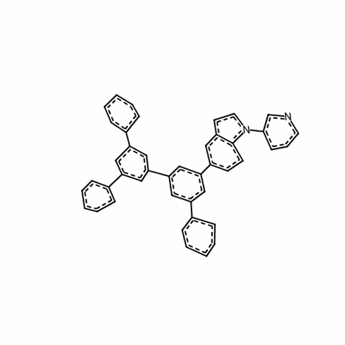 c1ccc(-c2cc(-c3ccccc3)cc(-c3cc(-c4ccccc4)cc(-c4ccc5c(ccn5-c5cccnc5)c4)c3)c2)cc1